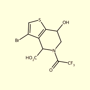 O=C(O)C1c2c(Br)csc2C(O)CN1C(=O)C(F)(F)F